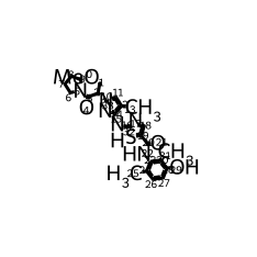 COCC(C(=O)N1CCCC1)n1cc(C)c(Nc2ncc(C(=O)Nc3c(C)ccc(O)c3C)s2)n1